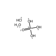 Cl.O.O=P(O)(O)O